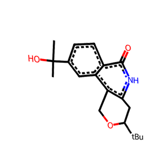 CC(C)(O)c1ccc2c(=O)[nH]c3c(c2c1)COC(C(C)(C)C)C3